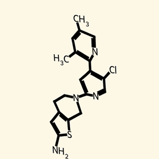 Cc1cnc(-c2cc(N3CCc4cc(N)sc4C3)ncc2Cl)c(C)c1